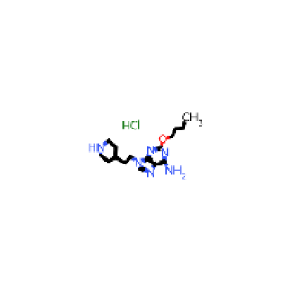 CCCCOc1nc(N)c2ncn(CCC3CCNCC3)c2n1.Cl